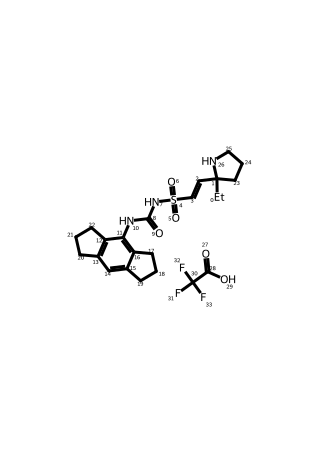 CCC1(/C=C/S(=O)(=O)NC(=O)Nc2c3c(cc4c2CCC4)CCC3)CCCN1.O=C(O)C(F)(F)F